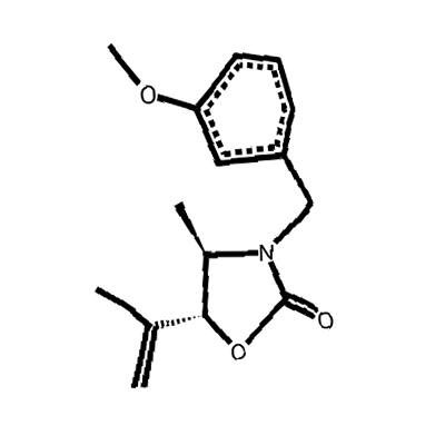 C=C(C)[C@H]1OC(=O)N(Cc2cccc(OC)c2)[C@@H]1C